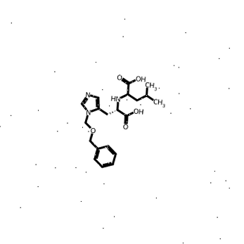 CC(C)CC(N[C@@H](Cc1cncn1COCc1ccccc1)C(=O)O)C(=O)O